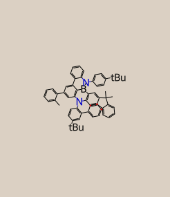 Cc1ccccc1-c1cc2c3c(c1)N(c1ccc(C(C)(C)C)cc1-c1ccccc1)c1cc4c(cc1B3N(c1ccc(C(C)(C)C)cc1)c1ccccc1-2)C(C)(C)c1ccccc1-4